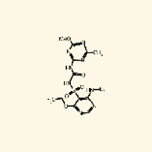 CCNc1ncnc(OCC(F)(F)F)c1S(=O)(=O)NC(=O)Nc1nc(C)nc(OC)n1